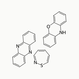 C1=CC=NSC=C1.c1ccc2c(c1)Nc1ccccc1O2.c1ccc2nc3ccccc3nc2c1